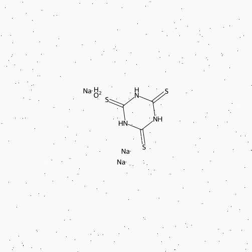 O.S=c1[nH]c(=S)[nH]c(=S)[nH]1.[Na].[Na].[Na]